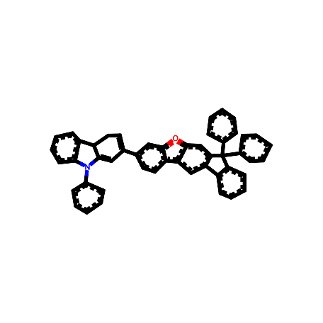 C1=C(c2ccc3c(c2)oc2cc4c(cc23)-c2ccccc2C4(c2ccccc2)c2ccccc2)C=C2C(C1)c1ccccc1N2c1ccccc1